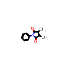 CC1C(=O)N(c2ccccc2)C(=O)C1C